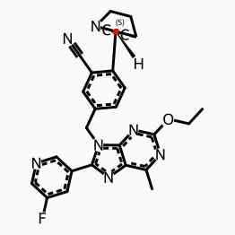 CCOc1nc(C)c2nc(-c3cncc(F)c3)n(Cc3ccc([C@H]4CN5CCC4CC5)c(C#N)c3)c2n1